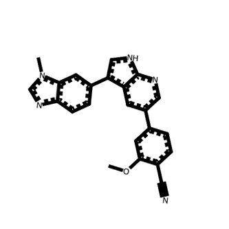 COc1cc(-c2cnc3[nH]cc(-c4ccc5ncn(C)c5c4)c3c2)ccc1C#N